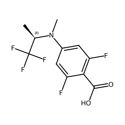 C[C@@H](N(C)c1cc(F)c(C(=O)O)c(F)c1)C(F)(F)F